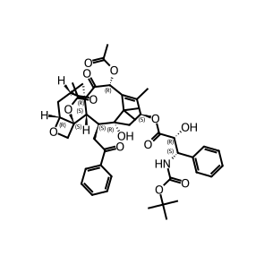 CC(=O)O[C@H]1C(=O)[C@]23C[C@H]2C[C@H]2OC[C@@]2(OC(C)=O)[C@H]3[C@H](CC(=O)c2ccccc2)[C@]2(O)C[C@H](OC(=O)[C@H](O)[C@@H](NC(=O)OC(C)(C)C)c3ccccc3)C(C)=C1C2(C)C